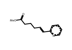 COC(=O)CCC/C=C/c1ccccn1